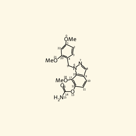 COc1ccc(Cn2ncc3ccc(OC(N)=O)c(OC)c32)c(OC)c1